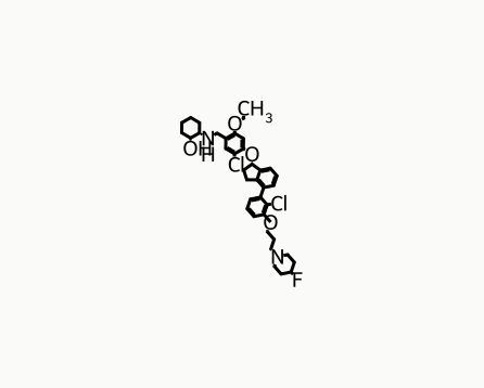 CCOc1cc(O[C@H]2CCc3c(-c4cccc(OCCCN5CCC(F)CC5)c4Cl)cccc32)c(Cl)cc1CN[C@@H]1CCCC[C@@H]1O